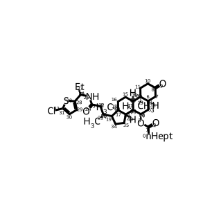 CCCCCCCC(=O)O[C@@H]1C[C@@H]2CC(=O)CC[C@]2(C)[C@H]2CC[C@]3(C)C([C@H](C)CC(=O)N[C@H](CC)c4ccc(Cl)s4)CC[C@H]3[C@H]12